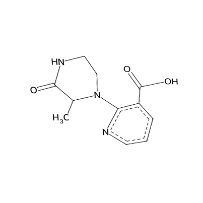 CC1C(=O)NCCN1c1ncccc1C(=O)O